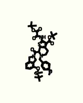 COc1ccc(CN2CCc3c(sc(NC(=O)C(=O)OC(C)(C)C)c3C(=O)OC(C)(C)C)C2C(=O)N2Cc3cccc(O[Si](C)(C)C(C)(C)C)c3C2)cc1